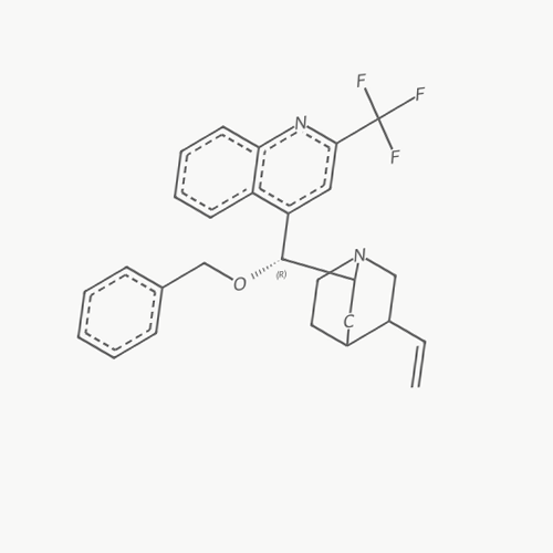 C=CC1CN2CCC1CC2[C@H](OCc1ccccc1)c1cc(C(F)(F)F)nc2ccccc12